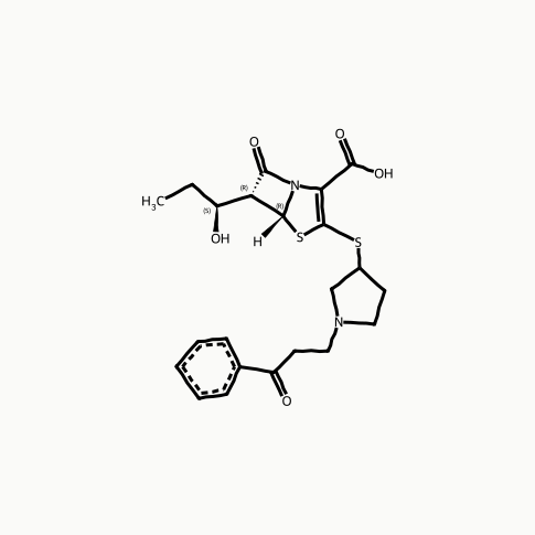 CC[C@H](O)[C@@H]1C(=O)N2C(C(=O)O)=C(SC3CCN(CCC(=O)c4ccccc4)C3)S[C@H]12